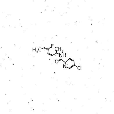 C/C=C(F)\C=C/C(C)NC(=O)c1ccc(Cl)cn1